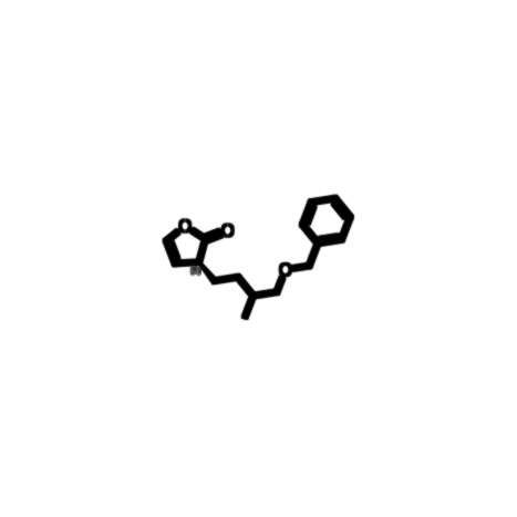 CC(CC[C@H]1C=COC1=O)COCc1ccccc1